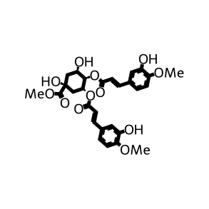 COC(=O)[C@]1(O)C[C@@H](O)[C@@H](OC(=O)/C=C/c2ccc(OC)c(O)c2)[C@H](OC(=O)/C=C/c2ccc(OC)c(O)c2)C1